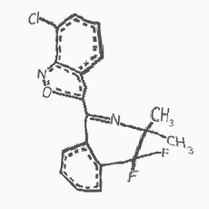 CC1(C)N=C(c2onc3c(Cl)cccc23)c2ccccc2C1(F)F